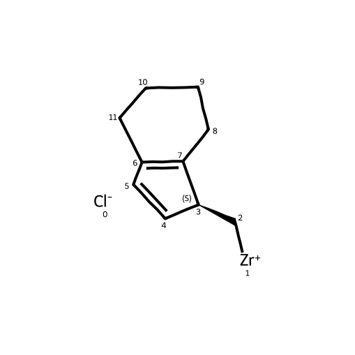 [Cl-].[Zr+][CH2][C@H]1C=CC2=C1CCCC2